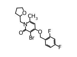 Cc1cc(OCc2ccc(F)cc2F)c(Br)c(=O)n1CC1CCCO1